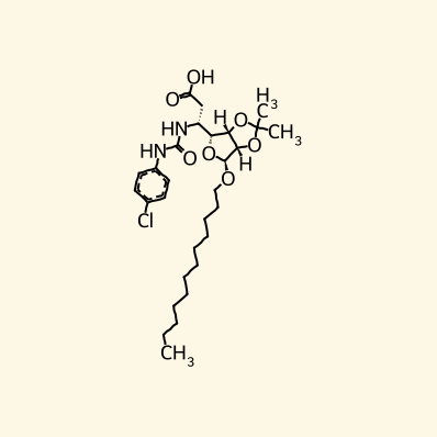 CCCCCCCCCCCCO[C@H]1O[C@H]([C@@H](CC(=O)O)NC(=O)Nc2ccc(Cl)cc2)[C@@H]2OC(C)(C)O[C@H]12